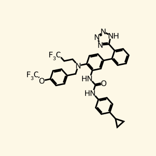 O=C(Nc1ccc(C2CC2)cc1)Nc1cc(-c2ccccc2-c2nnn[nH]2)ccc1N(CCC(F)(F)F)Cc1ccc(OC(F)(F)F)cc1